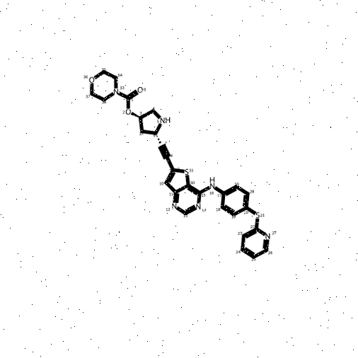 O=C(O[C@H]1CN[C@H](C#Cc2cc3ncnc(Nc4ccc(Sc5ccccn5)cc4)c3s2)C1)N1CCOCC1